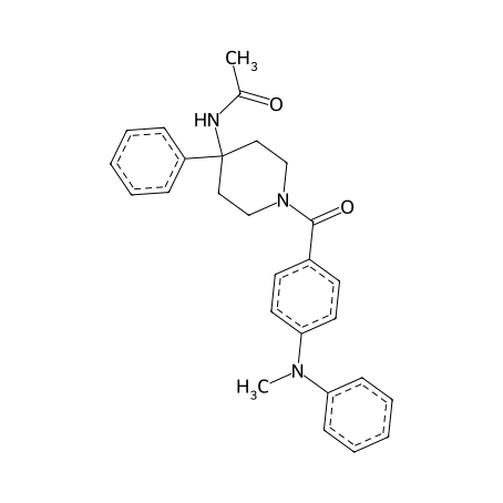 CC(=O)NC1(c2ccccc2)CCN(C(=O)c2ccc(N(C)c3ccccc3)cc2)CC1